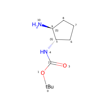 CC(C)(C)OC(=O)N[C@H]1CCC[C@@H]1N